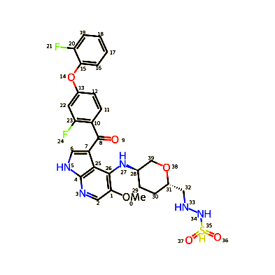 COc1cnc2[nH]cc(C(=O)c3ccc(Oc4ccccc4F)cc3F)c2c1N[C@@H]1CC[C@@H](CNN[SH](=O)=O)OC1